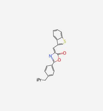 CC(C)Cc1ccc(C2=NC(=Cc3csc4ccccc34)C(=O)O2)cc1